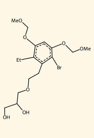 CCc1c(OCOC)cc(OCOC)c(Br)c1CCOCC(O)CO